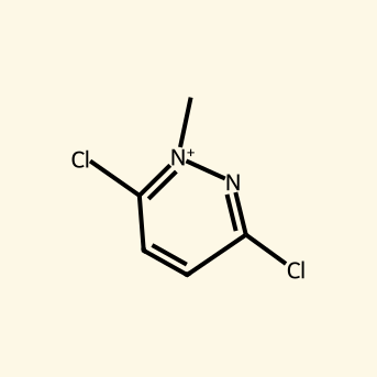 C[n+]1nc(Cl)ccc1Cl